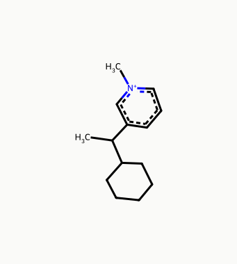 CC(c1ccc[n+](C)c1)C1CCCCC1